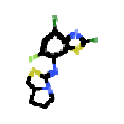 Fc1cc(Cl)c2nc(Cl)sc2c1N=C1SCC2CCCN12